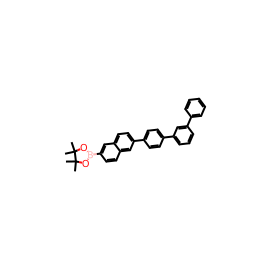 CC1(C)OB(c2ccc3cc(-c4ccc(-c5cccc(-c6ccccc6)c5)cc4)ccc3c2)OC1(C)C